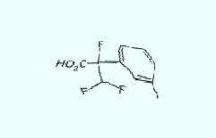 O=C(O)C(F)(c1cccc(I)c1)C(F)F